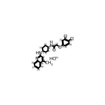 Cc1cc(N[C@H]2CC[C@@H](NC(=O)COc3ccc(Cl)c(Cl)c3)CC2)nc2ccccc12.Cl